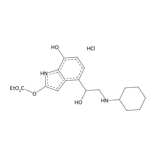 CCOC(=O)Oc1cc2c(C(O)CNC3CCCCC3)ccc(O)c2[nH]1.Cl